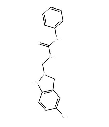 Cc1ccc2c(c1)CN(CNC(=S)Nc1ccccc1)N2